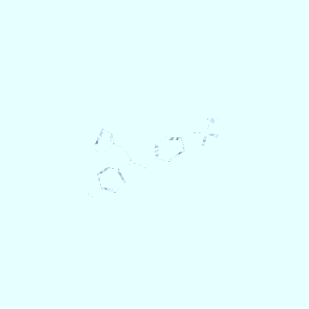 N#Cc1ccc(N(Cc2ccc(OS(N)(=O)=O)cc2)Cc2cccs2)cc1